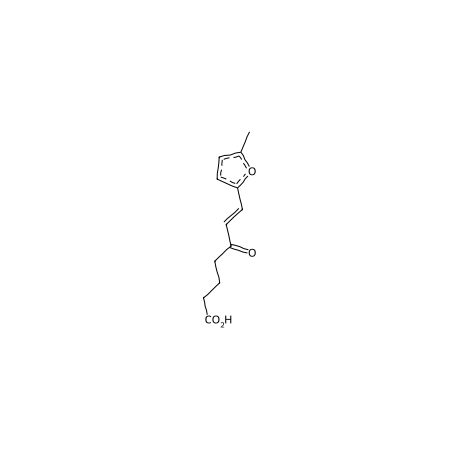 Cc1ccc(C=CC(=O)CCCC(=O)O)o1